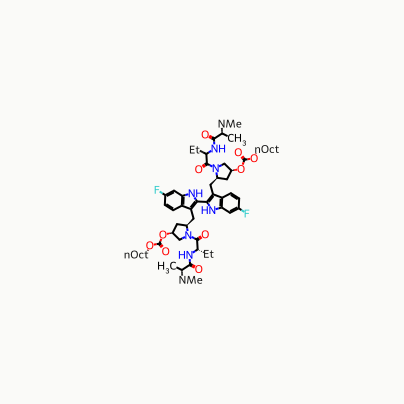 CCCCCCCCOC(=O)O[C@H]1C[C@@H](Cc2c(-c3[nH]c4cc(F)ccc4c3C[C@@H]3C[C@H](OC(=O)OCCCCCCCC)CN3C(=O)[C@H](CC)NC(=O)[C@H](C)NC)[nH]c3cc(F)ccc23)N(C(=O)C(CC)NC(=O)[C@H](C)NC)C1